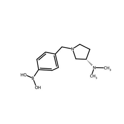 CN(C)[C@H]1CCN(Cc2ccc(B(O)O)cc2)C1